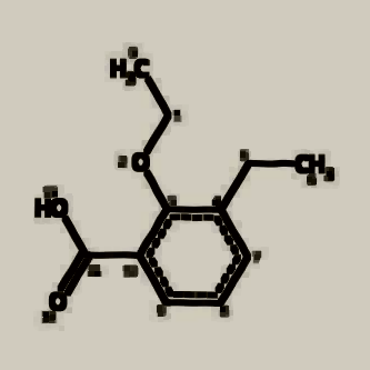 CCOc1c(CC)cccc1C(=O)O